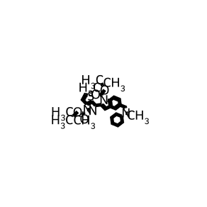 CN(Cc1ccc2c(c1)cc(-c1nn(C(=O)OC(C)(C)C)c3ccsc13)n2C(=O)OC(C)(C)C)C1CCCCC1